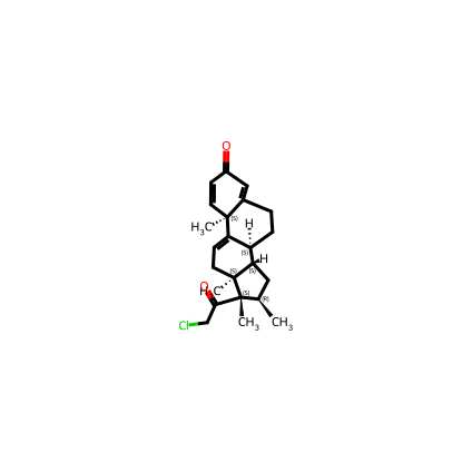 C[C@@H]1C[C@H]2[C@@H]3CCC4=CC(=O)C=C[C@]4(C)C3=CC[C@]2(C)[C@@]1(C)C(=O)CCl